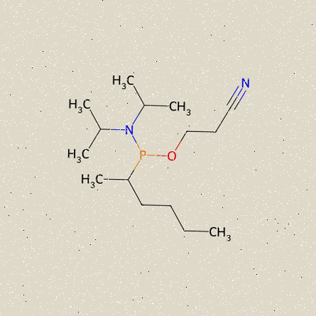 CCCCC(C)P(OCCC#N)N(C(C)C)C(C)C